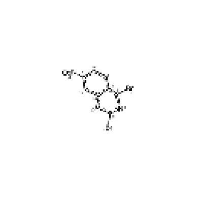 O=[N+]([O-])c1ccc2c(Br)nc(Br)cc2c1